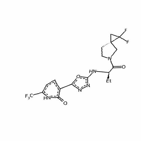 CC[C@@H](Nc1nnc(-c2ccc(C(F)(F)F)[nH]c2=O)o1)C(=O)N1CC[C@]2(C1)CC2(F)F